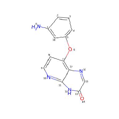 Nc1cccc(Oc2ccnc3[nH]c(=O)cnc23)c1